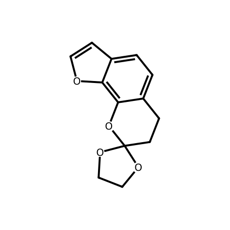 c1cc2ccc3c(c2o1)OC1(CC3)OCCO1